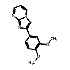 COc1ccc(-c2cn3cccnc3n2)cc1OC